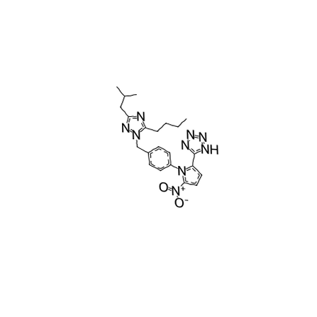 CCCCc1nc(CC(C)C)nn1Cc1ccc(-n2c(-c3nnn[nH]3)ccc2[N+](=O)[O-])cc1